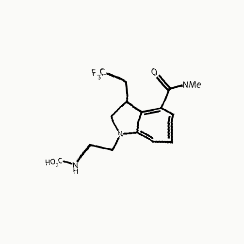 CNC(=O)c1cccc2c1C(CC(F)(F)F)CN2CCNC(=O)O